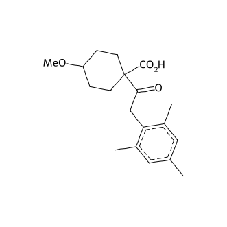 COC1CCC(C(=O)O)(C(=O)Cc2c(C)cc(C)cc2C)CC1